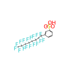 O=S(=O)(O)c1cccc(C(F)(F)C(F)(F)C(F)(F)C(F)(F)C(F)(F)C(F)(F)C(F)(F)C(F)(F)F)c1